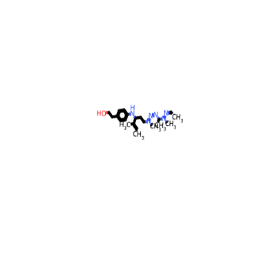 C/C=N\N(C)C(C)/N=N\N(C)CCC(Nc1ccc(CCO)cc1)/C(C)=C/C